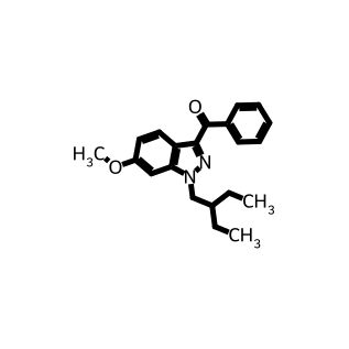 CCC(CC)Cn1nc(C(=O)c2ccccc2)c2ccc(OC)cc21